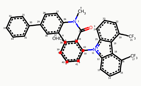 CN(C(=O)c1c(C=O)cccc1-n1c2cccc(C(F)(F)F)c2c2c(C(F)(F)F)cccc21)c1ccc(-c2ccccc2)cc1-c1ccccc1